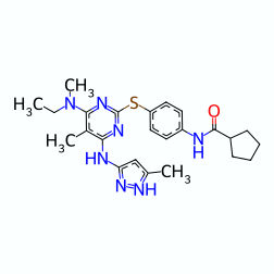 CCN(C)c1nc(Sc2ccc(NC(=O)C3CCCC3)cc2)nc(Nc2cc(C)[nH]n2)c1C